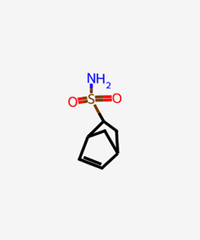 NS(=O)(=O)C1CC2C=CC1C2